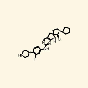 O=C1N(C2CCCC2)CCC12Cc1cnc(Nc3ccc(N4CCNCC4)c(F)c3)nc1N2